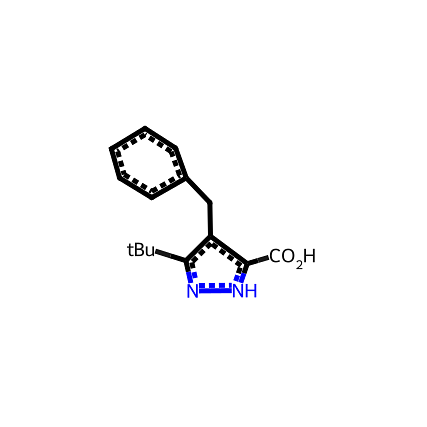 CC(C)(C)c1n[nH]c(C(=O)O)c1Cc1ccccc1